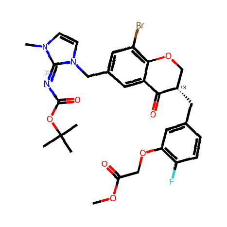 COC(=O)COc1cc(C[C@H]2COc3c(Br)cc(Cn4ccn(C)/c4=N/C(=O)OC(C)(C)C)cc3C2=O)ccc1F